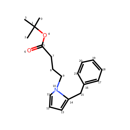 CC(C)(C)OC(=O)CCCn1cccc1Cc1ccccc1